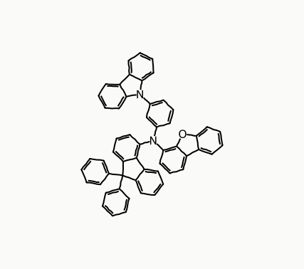 c1ccc(C2(c3ccccc3)c3ccccc3-c3c(N(c4cccc(-n5c6ccccc6c6ccccc65)c4)c4cccc5c4oc4ccccc45)cccc32)cc1